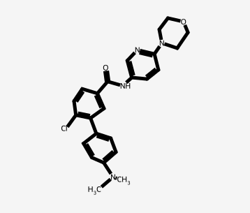 CN(C)c1ccc(-c2cc(C(=O)Nc3ccc(N4CCOCC4)nc3)ccc2Cl)cc1